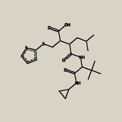 CC(C)CC(C(=O)NC(C(=O)NC1CC1)C(C)(C)C)C(CSc1cccs1)C(=O)O